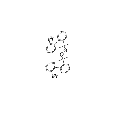 CC(C)c1ccccc1-c1ccccc1C(C)(C)OOC(C)(C)c1ccccc1-c1ccccc1C(C)C